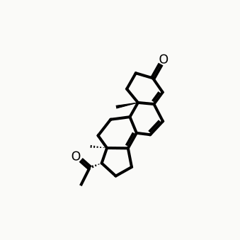 CC(=O)[C@H]1CCC2=C3C=CC4=CC(=O)CC[C@@]4(C)C3CC[C@@]21C